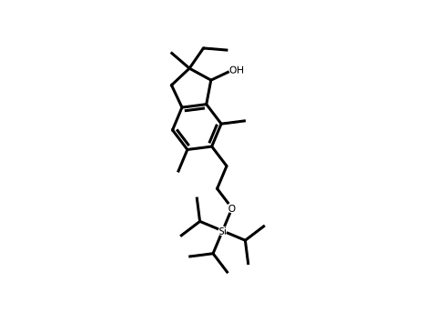 CCC1(C)Cc2cc(C)c(CCO[Si](C(C)C)(C(C)C)C(C)C)c(C)c2C1O